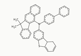 CC1(C)c2ccccc2-c2c1cc1ccccc1c2N(c1ccc(-c2ccccc2)cc1)c1ccc2c(c1)C1CC=CC=C1S2